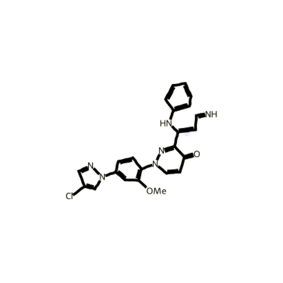 COc1cc(-n2cc(Cl)cn2)ccc1-n1ccc(=O)c(/C(=C/C=N)Nc2ccccc2)n1